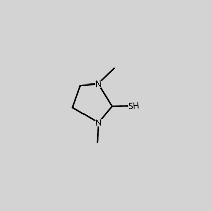 CN1CCN(C)C1S